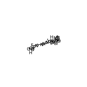 CCc1cc(Nc2ncc(Br)c(Nc3cnc4cccnc4c3P(C)(C)=O)n2)c(OC)cc1N1CCC(N2CCN(CCC3CCN(c4cc(F)c(C5CCC(=O)NC5=O)c(F)c4)CC3)CC2)CC1